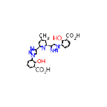 Cc1cc(-c2cn(-c3cccc(C(=O)O)c3O)nn2)nc(-c2cn(-c3cccc(C(=O)O)c3O)nn2)c1